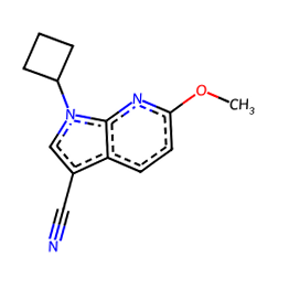 COc1ccc2c(C#N)cn(C3CCC3)c2n1